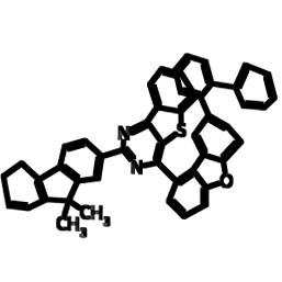 CC1(C)C2=C(CCC=C2)c2ccc(-c3nc(-c4cccc5oc6ccc(-c7ccccc7-c7ccccc7)cc6c45)c4sc5ccccc5c4n3)cc21